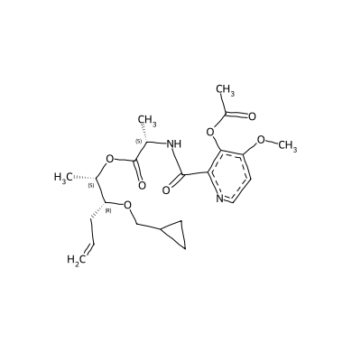 C=CC[C@@H](OCC1CC1)[C@H](C)OC(=O)[C@H](C)NC(=O)c1nccc(OC)c1OC(C)=O